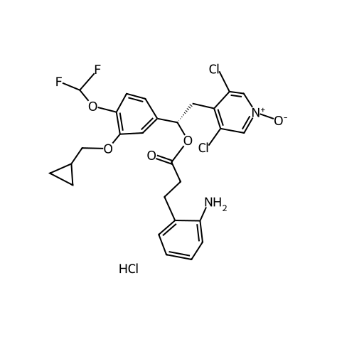 Cl.Nc1ccccc1CCC(=O)O[C@@H](Cc1c(Cl)c[n+]([O-])cc1Cl)c1ccc(OC(F)F)c(OCC2CC2)c1